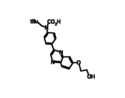 CC(C)(C)CN(C(=O)O)c1ccc(-c2cnc3ccc(OCCO)cc3n2)cc1